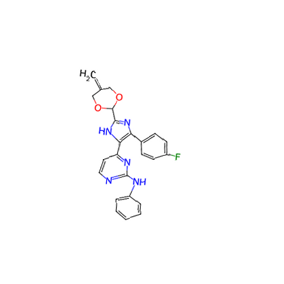 C=C1COC(c2nc(-c3ccc(F)cc3)c(-c3ccnc(Nc4ccccc4)n3)[nH]2)OC1